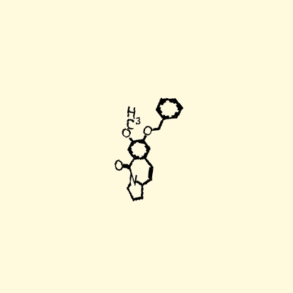 COc1cc2c(cc1OCc1ccccc1)C=CC1CCCN1C2=O